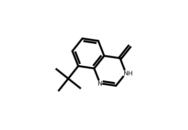 C=C1NC=Nc2c1cccc2C(C)(C)C